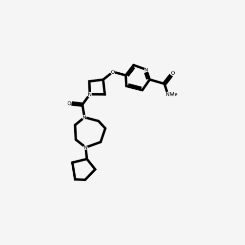 CNC(=O)c1ccc(OC2CN(C(=O)N3CCCN(C4CCCC4)CC3)C2)cn1